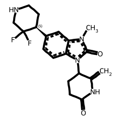 C=C1NC(=O)CCC1n1c(=O)n(C)c2cc([C@@H]3CCNCC3(F)F)ccc21